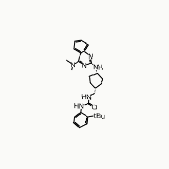 CN(C)c1nc(N[C@H]2CC[C@@H](CNC(=O)Nc3ccccc3C(C)(C)C)CC2)nc2ccccc12